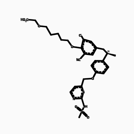 C[C@H](Cc1cc(Cl)c(OCCCCCOCC(=O)O)c(C#N)c1)c1ccc(OCc2ccnc(NS(C)(=O)=O)n2)cc1